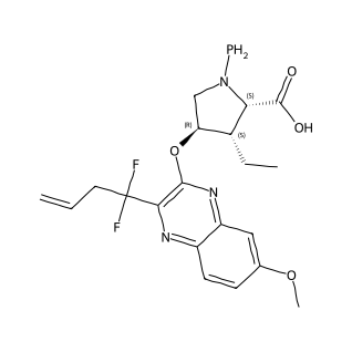 C=CCC(F)(F)c1nc2ccc(OC)cc2nc1O[C@H]1CN(P)[C@H](C(=O)O)[C@@H]1CC